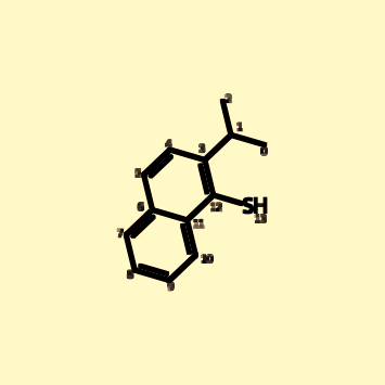 CC(C)c1ccc2ccccc2c1S